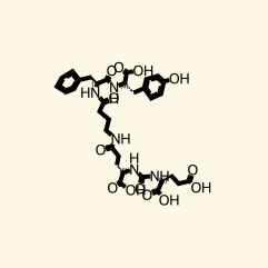 O=C(O)CC[C@H](NC(=O)N[C@@H](CCC(=O)NCCCC(=O)N[C@@H](Cc1ccccc1)C(=O)N[C@@H](Cc1ccc(O)cc1)C(=O)O)C(=O)O)C(=O)O